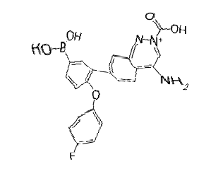 Nc1c[n+](C(=O)O)nc2cc(-c3cc(B(O)O)ccc3Oc3ccc(F)cc3)ccc12